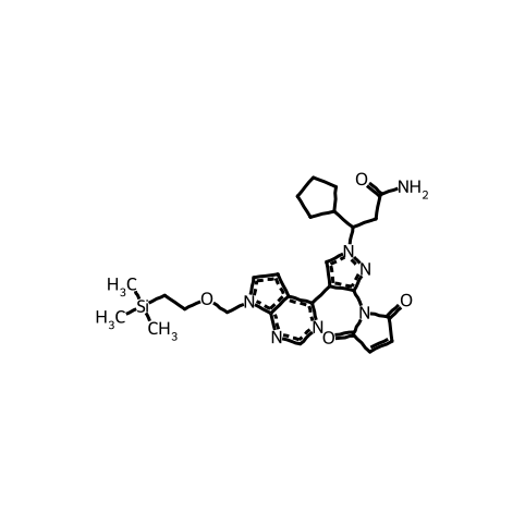 C[Si](C)(C)CCOCn1ccc2c(-c3cn(C(CC(N)=O)C4CCCC4)nc3N3C(=O)C=CC3=O)ncnc21